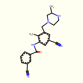 Cc1c(CN2CCNC(C)C2)cc(C#N)cc1NC(=O)c1cccc(C#N)c1